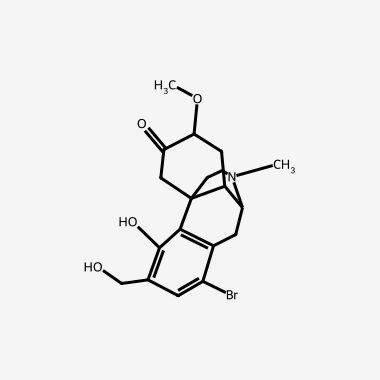 COC1CC2C3Cc4c(Br)cc(CO)c(O)c4C2(CCN3C)CC1=O